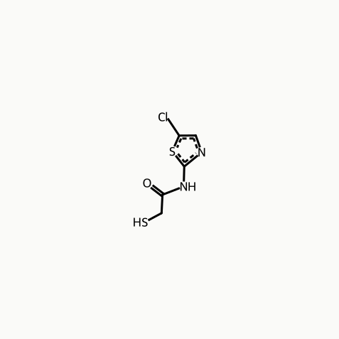 O=C(CS)Nc1ncc(Cl)s1